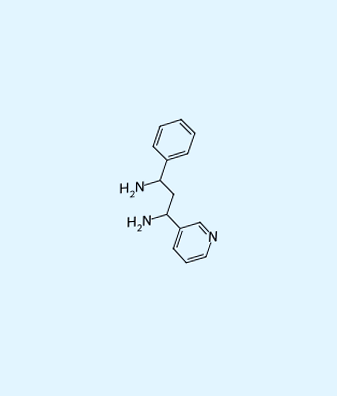 NC(CC(N)c1cccnc1)c1ccccc1